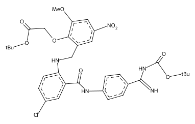 COc1cc([N+](=O)[O-])cc(CNc2ccc(Cl)cc2C(=O)Nc2ccc(C(=N)NC(=O)OC(C)(C)C)cc2)c1OCC(=O)OC(C)(C)C